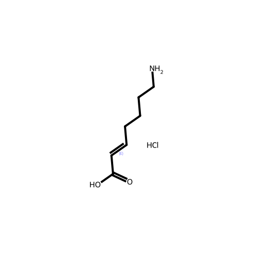 Cl.NCCCC/C=C/C(=O)O